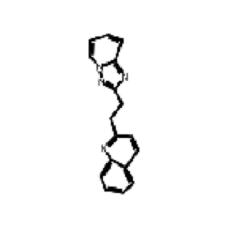 c1ccc2nc(CCc3nc4ccccn4n3)ccc2c1